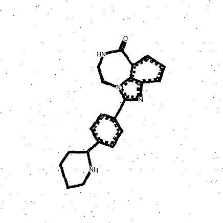 O=C1NCCn2c(-c3ccc(C4CCCCN4)cc3)nc3cccc1c32